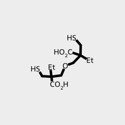 CCC(CS)(COCC(CC)(CS)C(=O)O)C(=O)O